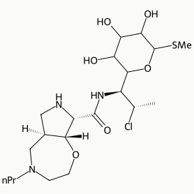 CCCN1CCO[C@@H]2[C@H](CN[C@@H]2C(=O)N[C@@H](C2OC(SC)C(O)C(O)C2O)[C@H](C)Cl)C1